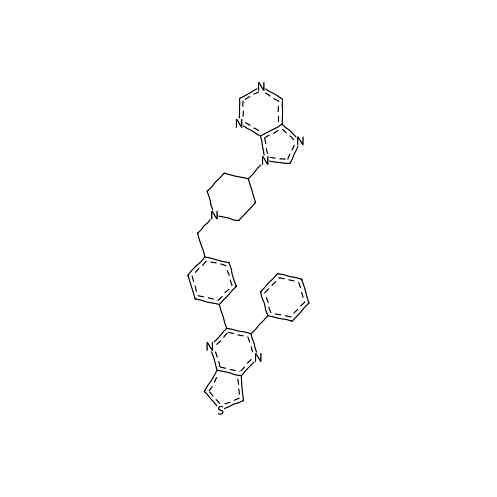 c1ccc(-c2nc3cscc3nc2-c2ccc(CN3CCC(n4cnc5cncnc54)CC3)cc2)cc1